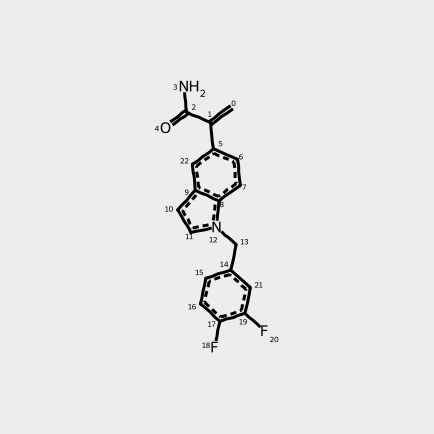 C=C(C(N)=O)c1ccc2c(ccn2Cc2ccc(F)c(F)c2)c1